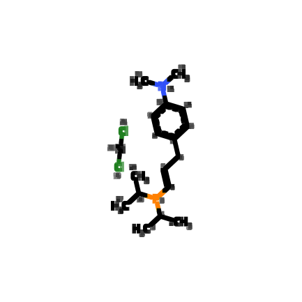 CC(C)P(C=CCc1ccc(N(C)C)cc1)C(C)C.[Cl][Ni][Cl]